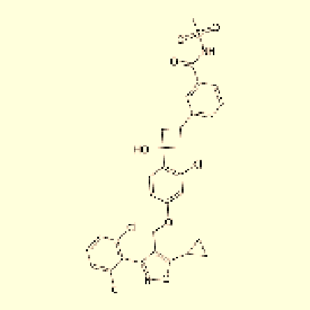 CS(=O)(=O)NC(=O)c1cccc(C2CC(O)(c3ccc(OCc4c(-c5c(Cl)cccc5Cl)noc4C4CC4)cc3Cl)C2)c1